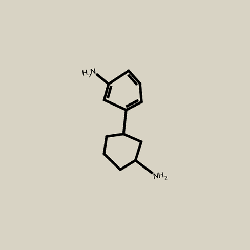 Nc1cccc(C2CCCC(N)C2)c1